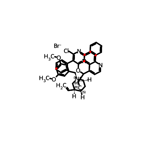 C=C[C@H]1C[N@+]2(Cc3cc(OC)cc(OC)c3)CC[C@H]1C[C@@H]2C(Oc1nc(-c2ccccc2)nc(Cl)c1-c1ccccc1)c1ccnc2ccccc12.[Br-]